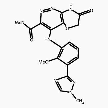 CNC(=O)c1nnc2c(c1Nc1cccc(-c3ncn(C)n3)c1OC)OCC(=O)N2